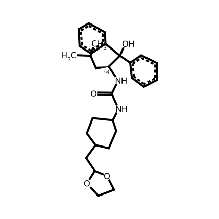 CC(C)C[C@H](NC(=O)NC1CCC(CC2OCCO2)CC1)C(O)(c1ccccc1)c1ccccc1